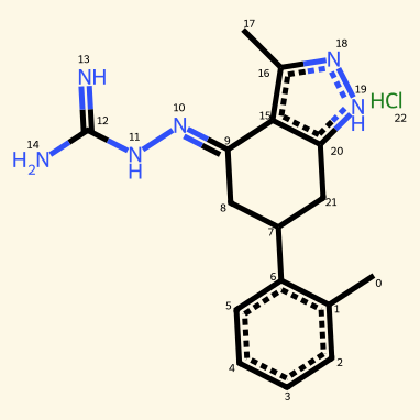 Cc1ccccc1C1CC(=NNC(=N)N)c2c(C)n[nH]c2C1.Cl